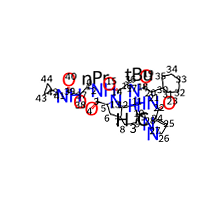 CCC[C@H](NC(=O)[C@@H]1CC2CCCCC2N1C(=O)[C@@H](NC(=O)C(NC(=O)c1ccnn1C)C1CCCCC1)C(C)(C)C)C(=O)C(=O)NC1CC1